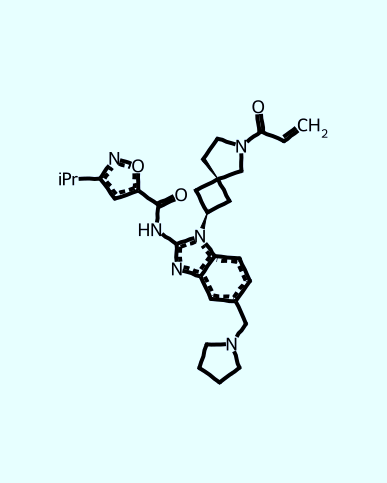 C=CC(=O)N1CC[C@]2(C1)C[C@H](n1c(NC(=O)c3cc(C(C)C)no3)nc3cc(CN4CCCC4)ccc31)C2